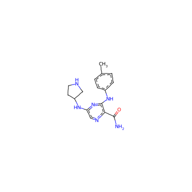 Cc1ccc(Nc2nc(NC3CCNC3)cnc2C(N)=O)cc1